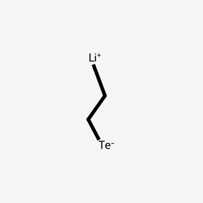 CCC[Te-].[Li+]